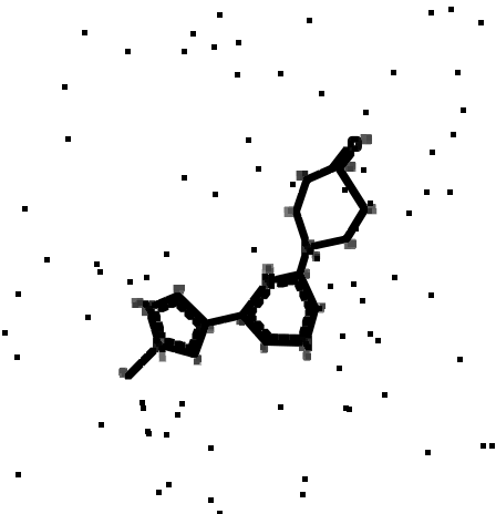 Cn1cc(-c2cncc(N3CCC(=O)CC3)n2)cn1